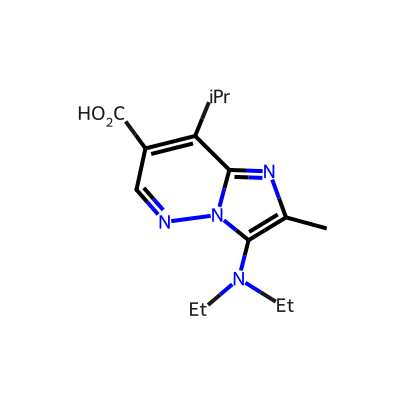 CCN(CC)c1c(C)nc2c(C(C)C)c(C(=O)O)cnn12